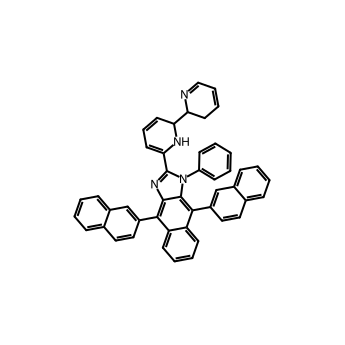 C1=CCC(C2C=CC=C(c3nc4c(-c5ccc6ccccc6c5)c5ccccc5c(-c5ccc6ccccc6c5)c4n3-c3ccccc3)N2)N=C1